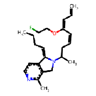 C=C/C=C(\C=C/CC(C)N1Cc2c(ccnc2C)/C1=C\CCC)OCCF